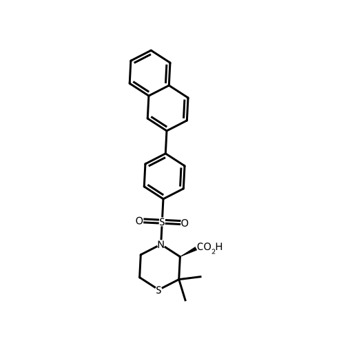 CC1(C)SCCN(S(=O)(=O)c2ccc(-c3ccc4ccccc4c3)cc2)[C@H]1C(=O)O